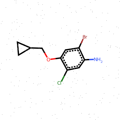 Nc1cc(Cl)c(OCC2CC2)cc1Br